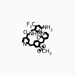 CS(=O)(=O)c1cc(Cc2cc(C(=O)NCc3cnc(N)cc3C(F)(F)F)ccn2)ccc1Cc1ccc[nH]c1=O